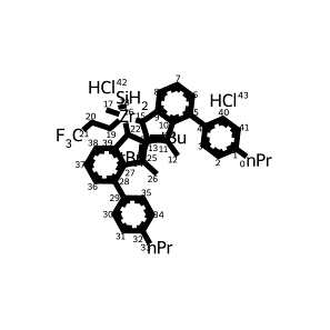 CCCc1ccc(-c2cccc3c2C(C)=C(C(C)(C)C)[CH]3[Zr]([CH3])(=[SiH2])([CH2]CC(F)(F)F)[CH]2C(C(C)(C)C)=C(C)c3c(-c4ccc(CCC)cc4)cccc32)cc1.Cl.Cl